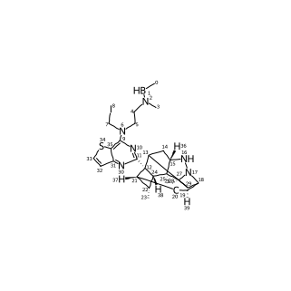 CBN(C)CCN(CI)c1nc([C@@]23C4C[C@@H]5NN6C7CC[C@@H]2[C@@H](C)[C@H]3[C@]5(C)[C@]6(C)[C@@H]74)nc2ccsc12